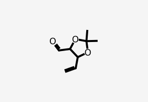 C=CC1OC(C)(C)OC1C=O